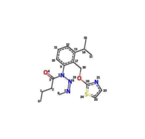 CCCC(=O)N(/N=N\C)c1cccc(C(C)C)c1COc1nccs1